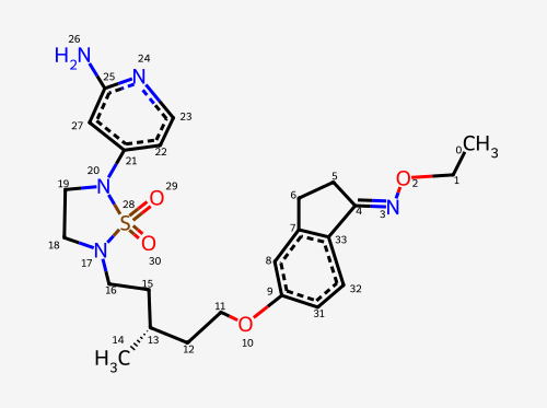 CCON=C1CCc2cc(OCC[C@H](C)CCN3CCN(c4ccnc(N)c4)S3(=O)=O)ccc21